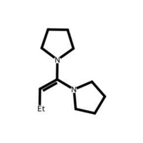 CCC=C(N1CCCC1)N1CCCC1